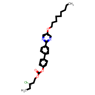 CCCCCCCCCOc1cnc(-c2ccc(-c3ccc(OC(=O)OCC[C@@H](Cl)CC)cc3)cc2)nc1